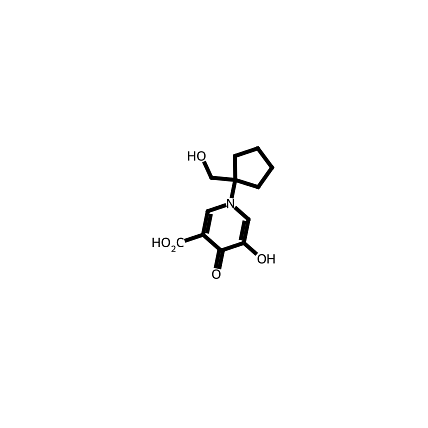 O=C(O)c1cn(C2(CO)CCCC2)cc(O)c1=O